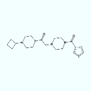 O=C(CN1CCN(C(=O)c2ccsc2)CC1)N1CCN(C2CCC2)CC1